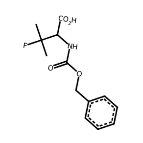 CC(C)(F)C(NC(=O)OCc1ccccc1)C(=O)O